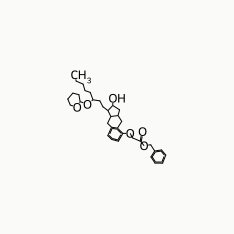 CCCCCC(CCC1C(O)CC2Cc3c(cccc3OCC(=O)OCc3ccccc3)CC21)OC1CCCCO1